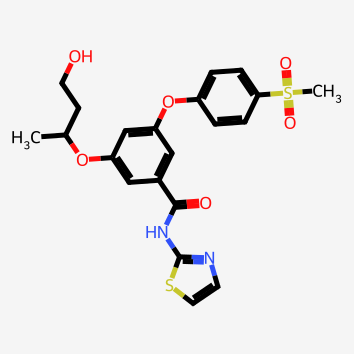 CC(CCO)Oc1cc(Oc2ccc(S(C)(=O)=O)cc2)cc(C(=O)Nc2nccs2)c1